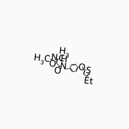 CCc1csc(Oc2ccc(CNC(=O)c3oc(C)nc3C)cc2)c1